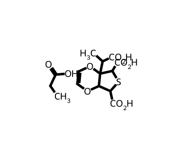 CC(C(=O)O)C12OC=COC1C(C(=O)O)SC2C(=O)O.CCC(=O)O